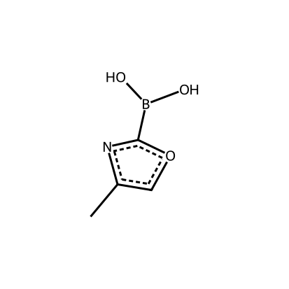 Cc1coc(B(O)O)n1